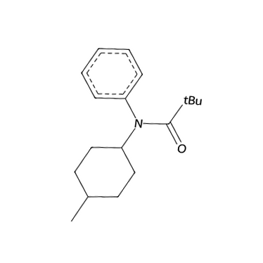 CC1CCC(N(C(=O)C(C)(C)C)c2ccccc2)CC1